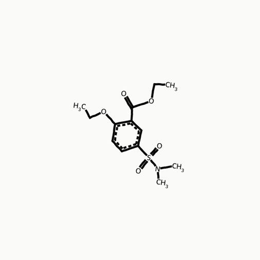 CCOC(=O)c1cc(S(=O)(=O)N(C)C)ccc1OCC